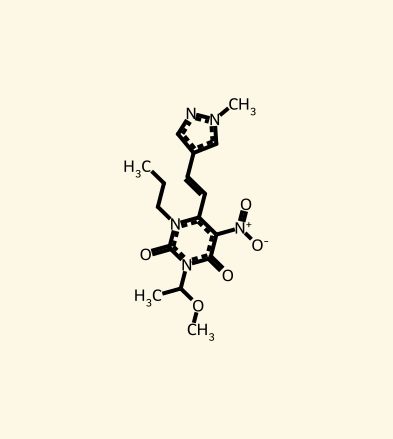 CCCn1c(C=Cc2cnn(C)c2)c([N+](=O)[O-])c(=O)n(C(C)OC)c1=O